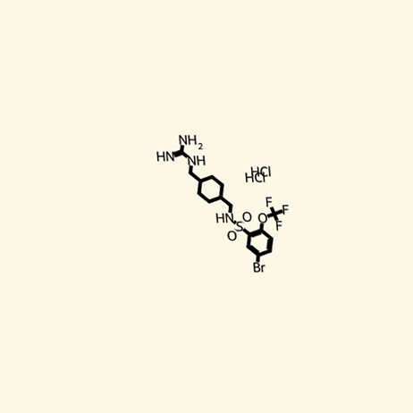 Cl.Cl.N=C(N)NCC1CCC(CNS(=O)(=O)c2cc(Br)ccc2OC(F)(F)F)CC1